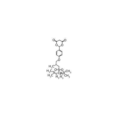 CC(COc1ccc(C2OC(=O)CC(=O)O2)cc1)C[Si](C)(O[Si](C)(C)C)O[Si](C)(C)C